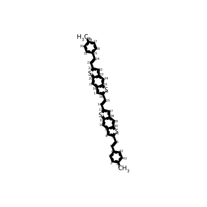 Cc1ccc(/C=C/c2cc3cc4sc(/C=C/c5cc6cc7sc(/C=C/c8ccc(C)cc8)cc7cc6s5)cc4cc3s2)cc1